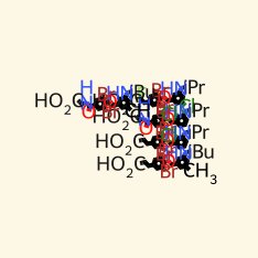 CC(C)Nc1cc(Cl)cc(COc2c(Br)cc(CC(F)C(=O)O)cc2Br)c1.CC(C)Nc1cccc(COc2c(Br)cc(C(=O)NCC(=O)O)cc2Br)c1Cl.CC(C)Nc1cccc(COc2c(Br)cc(CCC(=O)O)cc2Br)c1Cl.CCC(C)Nc1cc(C)cc(COc2c(Br)cc(C(=O)NCC(=O)O)cc2Br)c1.CCC(C)Nc1cc(C)cc(COc2c(Br)cc(CCC(=O)O)cc2Br)c1